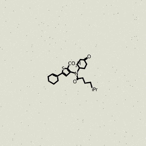 CC(C)CCCC(=O)N(c1cc(C2=CCCCC2)sc1C(=O)O)C1CCC(=O)CC1